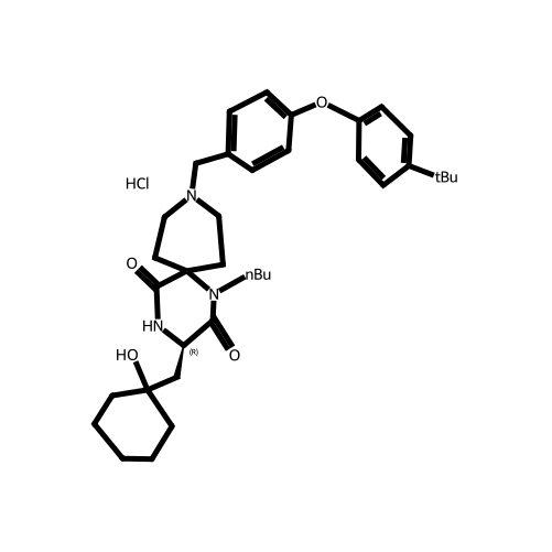 CCCCN1C(=O)[C@@H](CC2(O)CCCCC2)NC(=O)C12CCN(Cc1ccc(Oc3ccc(C(C)(C)C)cc3)cc1)CC2.Cl